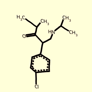 CC(C)NCC(C(=O)C(C)C)c1ccc(Cl)cc1